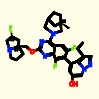 CCc1cnn2cc(O)cc(-c3c(F)cc4c(N5CC6CC[C@](C)(C6)C5)nc(OC[C@@]56CCCN5C[C@H](F)C6)nc4c3F)c12